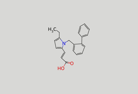 CCc1ccc(C=CC(=O)O)n1Cc1ccccc1-c1ccccc1